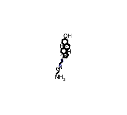 C[C@]12CC[C@H]3[C@@H](CC=C4C[C@@H](O)CC[C@@]43C)[C@@H]1CC[C@@H]2/C=C/C=N/OCCN